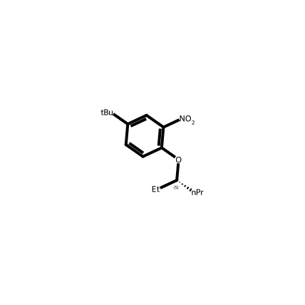 CCC[C@H](CC)Oc1ccc(C(C)(C)C)cc1[N+](=O)[O-]